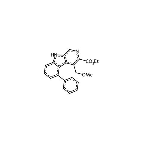 CCOC(=O)c1ncc2[nH]c3cccc(-c4ccccc4)c3c2c1COC